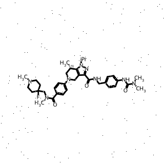 CC(C)n1nc(C(=O)NCc2ccc(NC(=O)N(C)C)cc2)c2c1[C@@H](C)CN(c1ccc(C(=O)N(C)CC3(F)CCN(C)CC3)cc1)C2